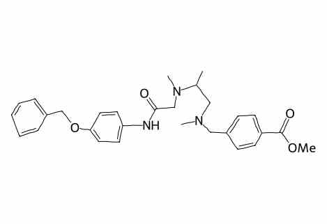 COC(=O)c1ccc(CN(C)CC(C)N(C)CC(=O)Nc2ccc(OCc3ccccc3)cc2)cc1